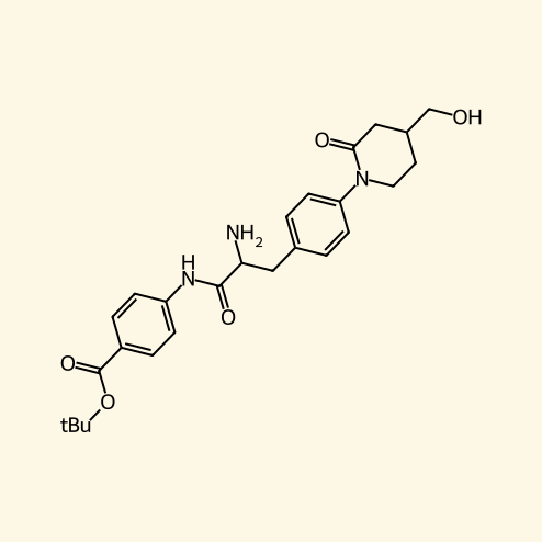 CC(C)(C)OC(=O)c1ccc(NC(=O)C(N)Cc2ccc(N3CCC(CO)CC3=O)cc2)cc1